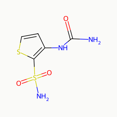 NC(=O)Nc1ccsc1S(N)(=O)=O